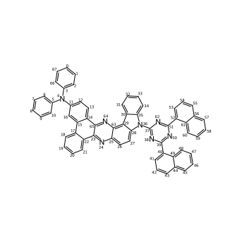 c1ccc(N(c2ccccc2)c2ccc3c(c2)c2ccccc2c2nc4ccc5c(c6ccccc6n5-c5nc(-c6cccc7ccccc67)nc(-c6cccc7ccccc67)n5)c4nc32)cc1